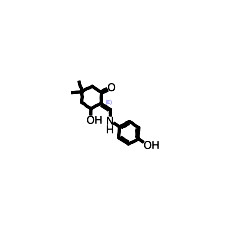 CC1(C)CC(=O)/C(=C/Nc2ccc(O)cc2)C(O)C1